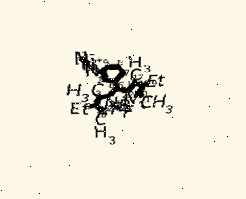 CCC1=C(C)/C(=C(\c2cccc(N=[N+]=[N-])c2)c2c(C)c(CC)c(C)n2B(F)F)N=C1C